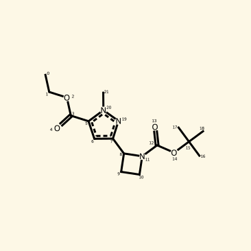 CCOC(=O)c1cc(C2CCN2C(=O)OC(C)(C)C)nn1C